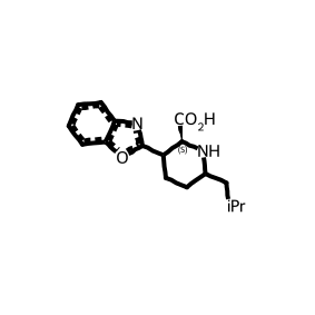 CC(C)CC1CCC(c2nc3ccccc3o2)[C@@H](C(=O)O)N1